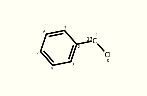 Cl[13CH2]c1ccccc1